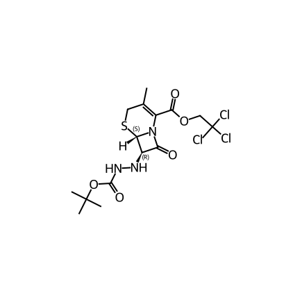 CC1=C(C(=O)OCC(Cl)(Cl)Cl)N2C(=O)[C@@H](NNC(=O)OC(C)(C)C)[C@@H]2SC1